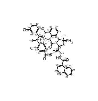 CN(C(=O)C1CC(F)(P)CN1C(=O)CNC(=O)c1ccnc2ccccc12)c1ccccc1COc1ccc(Cl)cc1C(=O)N(I)c1ccc([N+](=O)[O-])cc1Cl